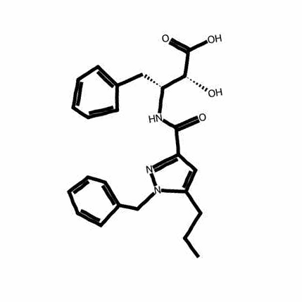 CCCc1cc(C(=O)N[C@H](Cc2ccccc2)[C@@H](O)C(=O)O)nn1Cc1ccccc1